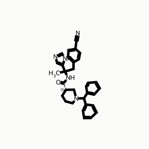 CC(Cc1ccc(C#N)cc1)(NC(=O)[C@H]1CCCN(C(c2ccccc2)c2ccccc2)C1)c1cnc[nH]1